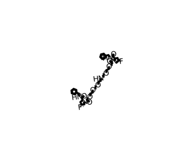 O=C(NCc1ccccc1)C1C[C@@H](F)CN1C(=O)COCCOCCNCCOCCOCCOCC(=O)N1C[C@H](F)CC1C(=O)NCc1ccccc1